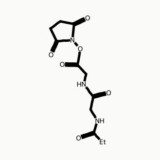 CCC(=O)NCC(=O)NCC(=O)ON1C(=O)CCC1=O